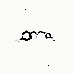 Oc1ccc(CNCN2CC(O)C2)cc1